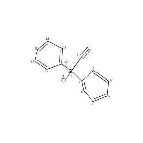 C#C[Si](Cl)(c1ccccc1)c1ccccc1